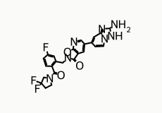 NC1N=C2C=C(c3cnc4on(Cc5cc(F)ccc5C(=O)N5CCC(F)(F)C5)c(=O)c4c3)C=CN2N1